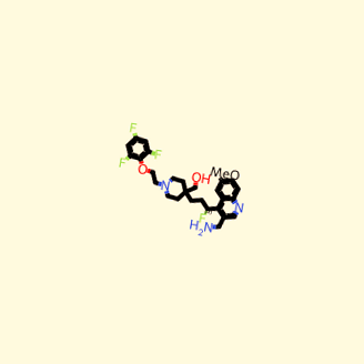 COc1ccc2ncc(CN)c([C@@H](F)CCC3(CO)CCN(CCOc4c(F)cc(F)cc4F)CC3)c2c1